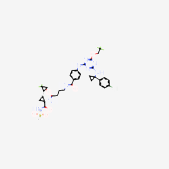 CS(=O)(=O)NC(=O)[C@@]1(NC(=O)CCCNC(=O)c2ccc(Nc3nc(NC4(c5ccc(Cl)cc5)CC4)nc(OCC(F)(F)F)n3)cc2)C[C@H]1C1CC1(F)F